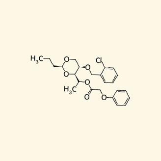 CCC[C@H]1OC[C@@H](OCc2ccccc2Cl)[C@@H](C(C)OC(=O)COc2ccccc2)O1